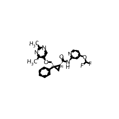 Cc1ncc(OC[C@@]2(c3ccccc3)C[C@H]2C(=O)Nc2cc(OC(F)F)ccn2)c(C)n1